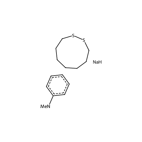 C1CCCSSCCC1.CNc1ccccc1.[NaH]